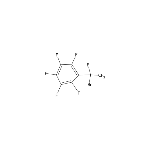 Fc1c(F)c(F)c(C(F)(Br)C(F)(F)F)c(F)c1F